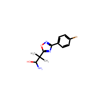 CC(C)(c1nc(-c2ccc(Br)cc2)no1)C(N)O